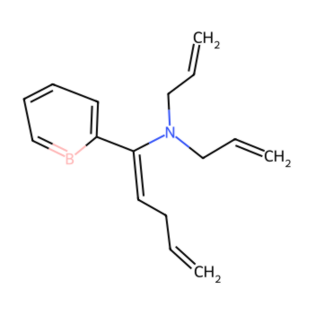 C=CCC=C(c1bcccc1)N(CC=C)CC=C